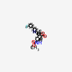 CCOC(=O)NC1CCC2C(C=Cc3ccc(-c4cccc(F)c4)cn3)[C@H]3C(C[C@@H]2C1)C(=O)O[C@@H]3C